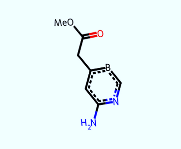 COC(=O)Cc1bcnc(N)c1